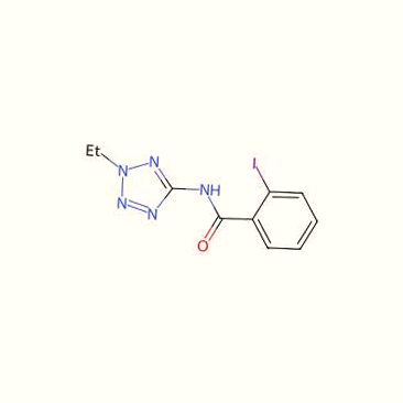 CCn1nnc(NC(=O)c2ccccc2I)n1